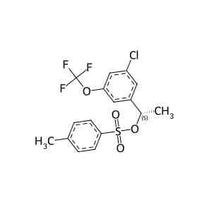 Cc1ccc(S(=O)(=O)O[C@@H](C)c2cc(Cl)cc(OC(F)(F)F)c2)cc1